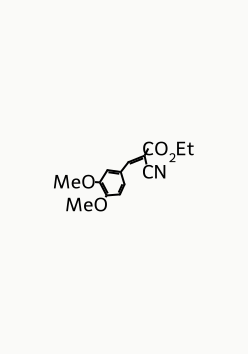 CCOC(=O)C(C#N)=Cc1ccc(OC)c(OC)c1